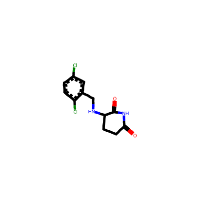 O=C1CCC(NCc2cc(Cl)ccc2Cl)C(=O)N1